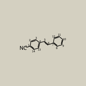 N#Cc1ccc(C=Cc2ccccc2)cc1